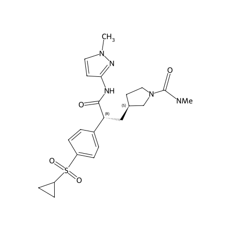 CNC(=O)N1CC[C@H](C[C@@H](C(=O)Nc2ccn(C)n2)c2ccc(S(=O)(=O)C3CC3)cc2)C1